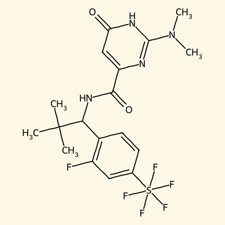 CN(C)c1nc(C(=O)NC(c2ccc(S(F)(F)(F)(F)F)cc2F)C(C)(C)C)cc(=O)[nH]1